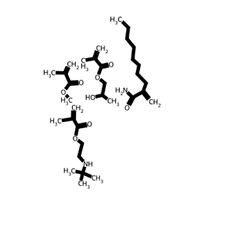 C=C(C)C(=O)OC.C=C(C)C(=O)OCC(C)O.C=C(C)C(=O)OCCNC(C)(C)C.C=C(CCCCCCCC)C(N)=O